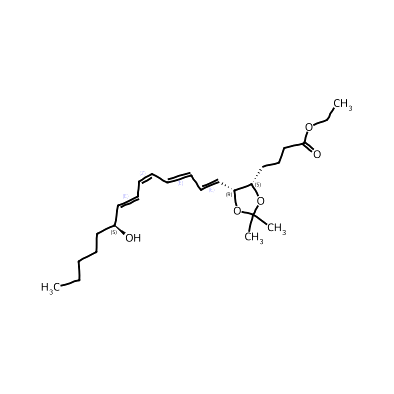 CCCCC[C@H](O)/C=C/C=C\C=C\C=C\[C@H]1OC(C)(C)O[C@H]1CCCC(=O)OCC